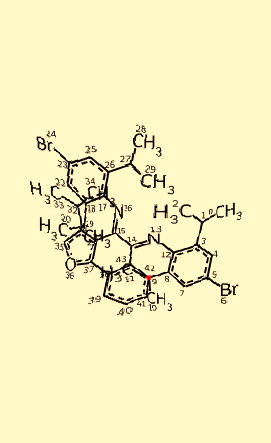 CC(C)c1cc(Br)cc(C(C)C)c1/N=C1/C(=N/c2c(C(C)C)cc(Br)cc2C(C)C)c2c(C(C)C)coc2-c2ccccc21